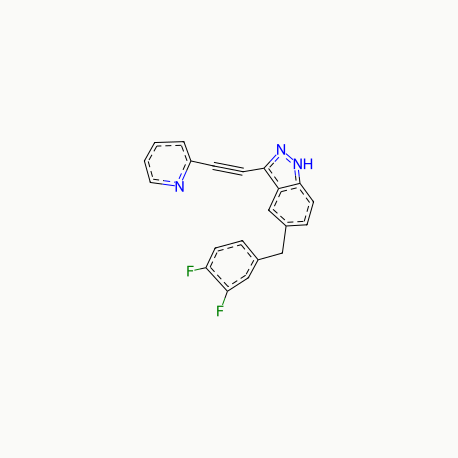 Fc1ccc(Cc2ccc3[nH]nc(C#Cc4ccccn4)c3c2)cc1F